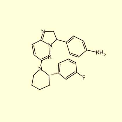 Nc1ccc(C2CN=C3C=CC(N4CCCC[C@H]4c4cccc(F)c4)=NN32)cc1